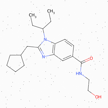 CCC(CC)n1c(CC2CCCC2)nc2cc(C(=O)NCCO)ccc21